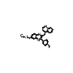 O=COCc1ccc2nc(Cc3ccnc4ccccc34)c(-c3ccc(F)cc3)nc2c1